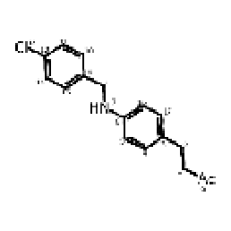 CC(=O)CCc1ccc(NCc2ccc(Cl)cc2)cc1